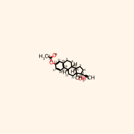 C#C[C@]1(O)CC[C@H]2[C@@H]3CCc4cc(OC(C)=O)ccc4[C@H]3CCC21C